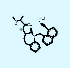 CNC(C)C(=O)NC1CCc2ccccc2N(Cc2cccc3cccc(C#N)c23)C1=O.Cl